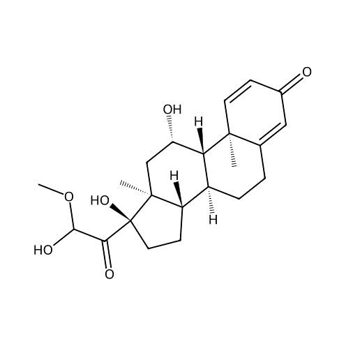 COC(O)C(=O)[C@@]1(O)CC[C@H]2[C@@H]3CCC4=CC(=O)C=C[C@]4(C)[C@H]3[C@@H](O)C[C@@]21C